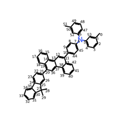 Cc1cccc(N(c2ccc(-c3cc4c5ccccc5c(-c5ccc6c(c5)C(C)(C)c5ccccc5-6)cc4c4ccccc34)cc2)c2cccc(C)c2)c1